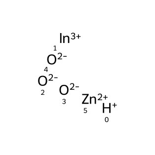 [H+].[In+3].[O-2].[O-2].[O-2].[Zn+2]